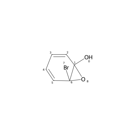 OC12C=CC=CC1(Br)O2